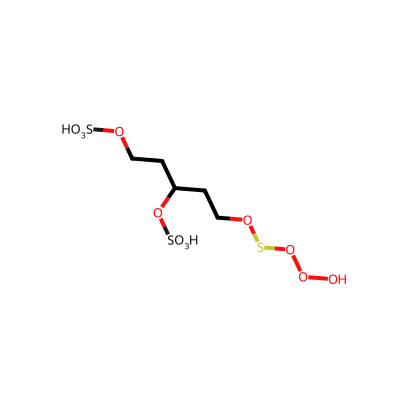 O=S(=O)(O)OCCC(CCOSOOO)OS(=O)(=O)O